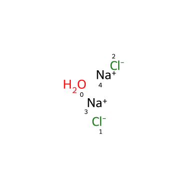 O.[Cl-].[Cl-].[Na+].[Na+]